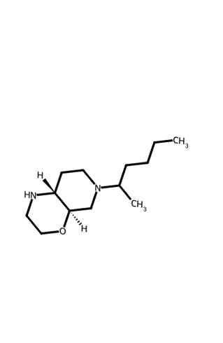 CCCCC(C)N1CC[C@H]2NCCO[C@@H]2C1